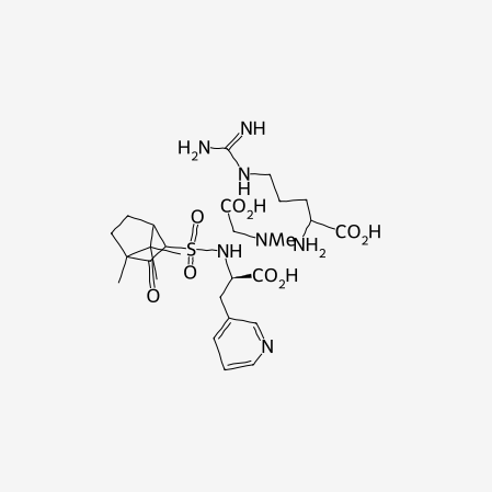 CC12CCC(C(S(=O)(=O)N[C@H](Cc3cccnc3)C(=O)O)C1=O)C2(C)C.CNCC(=O)O.N=C(N)NCCCC(N)C(=O)O